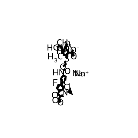 CC1C(SCCOC(=O)NC2CCN(c3c(F)cc4c(=O)c(C(=O)[O-])cn(C5CC5)c4c3Cl)C2)=C(C(=O)[O-])N2C(=O)[C@@H]([C@@H](C)O)[C@H]12.[Na+].[Na+]